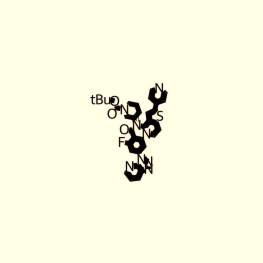 CC(C)(C)OC(=O)N1CCC[C@@H](N(C(=O)c2ccc(-n3nnc4cccnc43)cc2F)c2nccc3sc(-c4ccncc4)cc23)C1